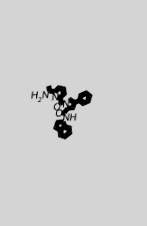 CC(N)c1cccc(C(=O)N2CC(c3ccccc3)CC2C(=O)NC2CCc3ccccc32)n1